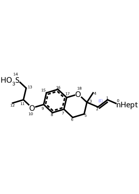 CCCCCCC/C=C/C1(C)CCc2cc(OC(C)CS(=O)(=O)O)ccc2O1